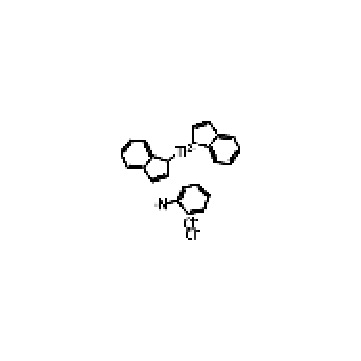 C1=C[CH]([Ti+2][CH]2C=Cc3ccccc32)c2ccccc21.[Cl-].[Cl-].[N]c1ccccc1